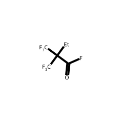 CCC(C(=O)F)(C(F)(F)F)C(F)(F)F